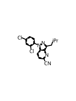 CC(C)Cc1nn(-c2ccc(Cl)cc2Cl)c2ccc(C#N)nc12